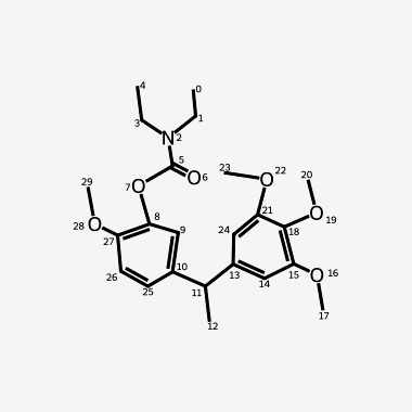 CCN(CC)C(=O)Oc1cc(C(C)c2cc(OC)c(OC)c(OC)c2)ccc1OC